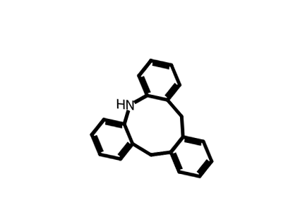 c1ccc2c(c1)Cc1ccccc1Nc1ccccc1C2